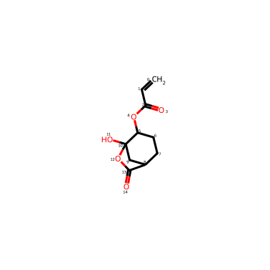 C=CC(=O)OC1CCC2CC1(O)OC2=O